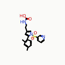 Cc1ccc(-c2cc(CCNC(=O)O)cn2S(=O)(=O)c2cccnc2)c(C)c1